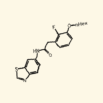 CCCCCCOc1cccc(CC(=O)Nc2ccc3ncsc3c2)c1F